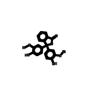 CCOc1cc(C2(c3ccc(O)c(OCC)c3)OC(=O)c3ccccc32)ccc1O